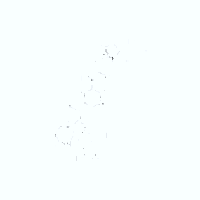 CC(CO)(CO)n1cc(C(=O)c2cncc(NC(=O)Cn3ccc(C(F)(F)F)n3)c2)c2cncnc21